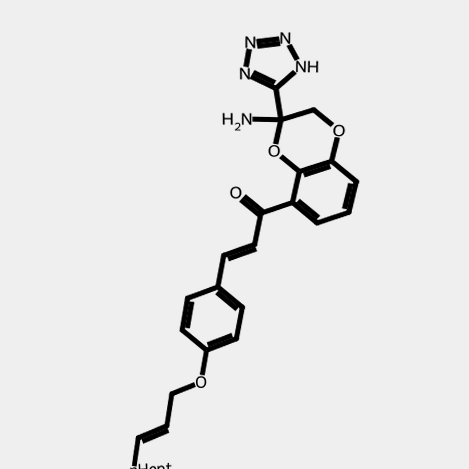 CCCCCCC/C=C/COc1ccc(C=CC(=O)c2cccc3c2OC(N)(c2nnn[nH]2)CO3)cc1